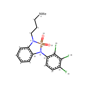 CNCCCN1c2ccccc2N(c2ccc(F)c(F)c2F)S1(=O)=O